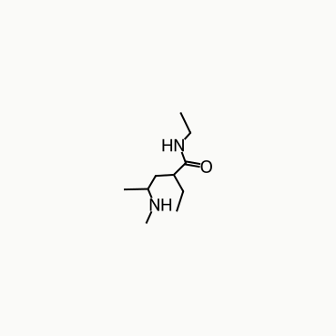 CCNC(=O)C(CC)CC(C)NC